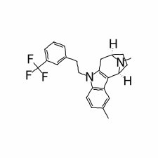 Cc1ccc2c(c1)c1c(n2CCc2cccc(C(F)(F)F)c2)C[C@H]2CC[C@@H]1N2C